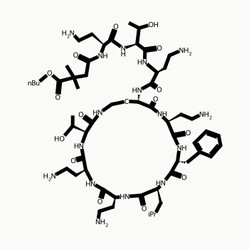 CCCCOC(=O)C(C)(C)CC(=O)N[C@@H](CCN)C(=O)N[C@H](C(=O)N[C@@H](CCN)C(=O)N[C@H]1CCNC(=O)[C@H](C(C)O)NC(=O)[C@H](CCN)NC(=O)[C@H](CCN)NC(=O)[C@H](CC(C)C)NC(=O)[C@@H](Cc2ccccc2)NC(=O)[C@H](CCN)NC1=O)C(C)O